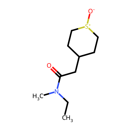 CCN(C)C(=O)CC1CC[S+]([O-])CC1